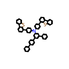 c1ccc(-c2ccc(-c3cc(-c4ccccc4)cc(N(c4ccc(-c5cccc6c5sc5ccccc56)cc4)c4ccc(-c5cccc6c5sc5ccccc56)cc4)c3)cc2)cc1